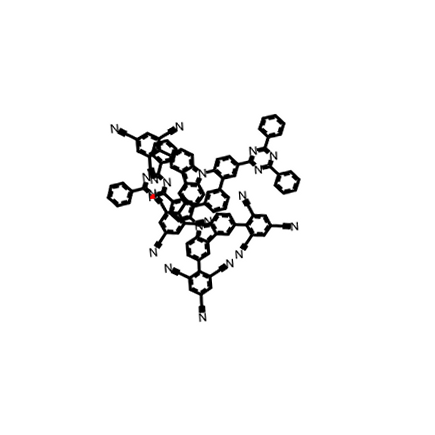 N#Cc1cc(C#N)c(-c2ccc3c(c2)c2cc(-c4c(C#N)cc(C#N)cc4C#N)ccc2n3-c2ccc(-c3nc(-c4ccccc4)nc(-c4ccccc4)n3)cc2-c2cccc(-c3cc(-c4nc(-c5ccccc5)nc(-c5ccccc5)n4)ccc3-n3c4ccc(-c5c(C#N)cc(C#N)cc5C#N)cc4c4cc(-c5c(C#N)cc(C#N)cc5C#N)ccc43)c2)c(C#N)c1